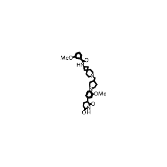 COc1cccc(C(=O)NC2CC3(CCN(CC4CCN(c5ccc(C6CCC(=O)NC6=O)cc5OC)CC4)CC3)C2)c1